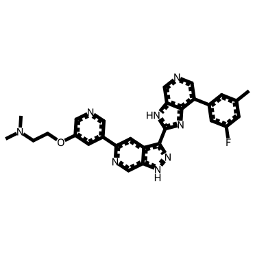 Cc1cc(F)cc(-c2cncc3[nH]c(-c4n[nH]c5cnc(-c6cncc(OCCN(C)C)c6)cc45)nc23)c1